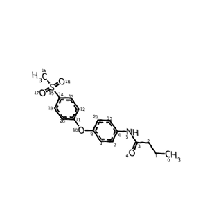 CCCC(=O)Nc1ccc(Oc2ccc(S(C)(=O)=O)cc2)cc1